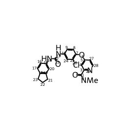 CNC(=O)c1cc(Oc2ccc(NC(=O)Nc3ccc4c(c3)CCC4)cc2Cl)ccn1